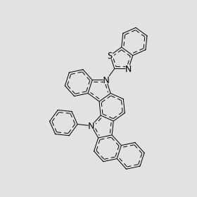 c1ccc(-n2c3ccc4ccccc4c3c3ccc4c(c5ccccc5n4-c4nc5ccccc5s4)c32)cc1